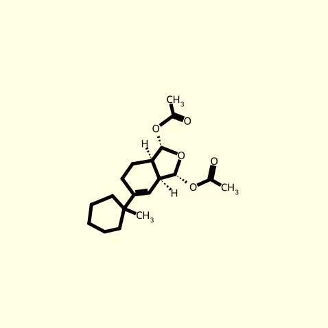 CC(=O)O[C@H]1O[C@@H](OC(C)=O)[C@@H]2CCC(C3(C)CCCCC3)=C[C@H]12